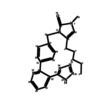 CCCCCc1cn(C)c(=O)n1Cc1ccc(-c2ncccc2-c2nnn[nH]2)cc1